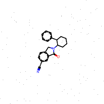 N#Cc1ccc2c(c1)C(=O)N(C1CCCCC1c1ccccc1)C2